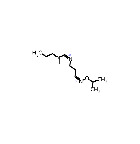 CCCN/C=N\CC/C=N\OC(C)C